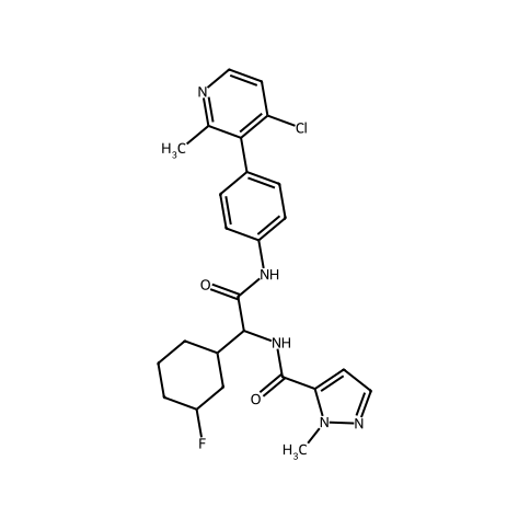 Cc1nccc(Cl)c1-c1ccc(NC(=O)C(NC(=O)c2ccnn2C)C2CCCC(F)C2)cc1